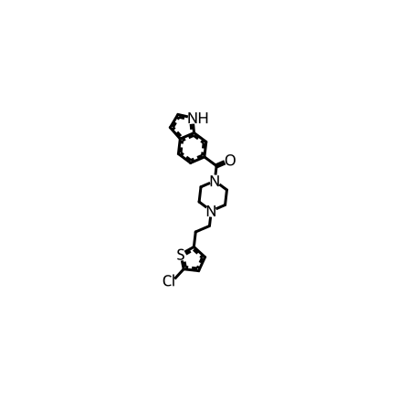 O=C(c1ccc2cc[nH]c2c1)N1CCN(CCc2ccc(Cl)s2)CC1